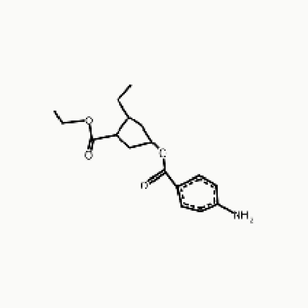 CCOC(=O)C1CC(OC(=O)c2ccc(N)cc2)CC1CC